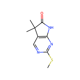 CSc1ncc2c(n1)NC(=O)C2(C)C